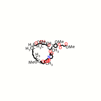 COC(=O)CCC(=O)O[C@@H]1CC[C@@H](C[C@@H](C)[C@@H]2CC(=O)[C@H](C)/C=C(\C)C(O)C(OC)C(=O)[C@H](C)C[C@H](C)/C=C/C=C/C=C(\C)[C@@H](OC)C[C@@H]3CC[C@@H](C)[C@@](O)(O3)C(=O)C(=O)N3CCCC[C@H]3C(=O)O2)C[C@H]1OC